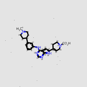 CN1CCC(c2cccc(Nc3ncnc4[nH]c(C5=CCN(C(=O)O)CC5)cc34)c2)CC1